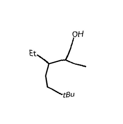 CCC(CC(C)(C)C)C(C)O